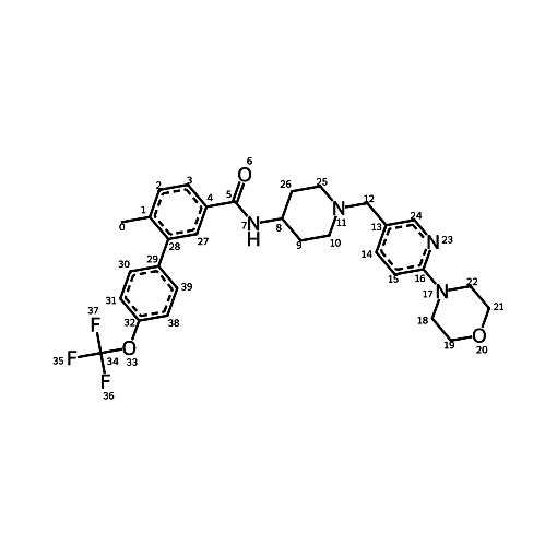 Cc1ccc(C(=O)NC2CCN(Cc3ccc(N4CCOCC4)nc3)CC2)cc1-c1ccc(OC(F)(F)F)cc1